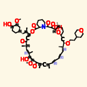 CO[C@@H]1C[C@H](C[C@@H](C)[C@@H]2CC(=O)[C@H](C)/C=C(\C)[C@@H](O)[C@@H](OC)C(=O)[C@H](C)C[C@H](C)/C=C/C=C/C=C(\C)C(OCCC3CCOCC3)CC3CC[C@@H](C)[C@@](O)(O3)C(=O)C(=O)N3CCCCC3C(=O)O2)CC[C@H]1O